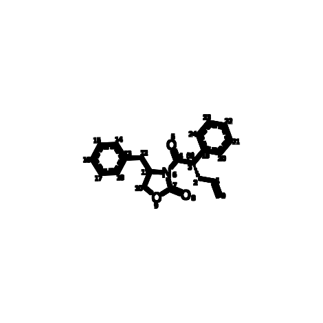 C=CC[C@H](C(=O)N1C(=O)OCC1Cc1ccccc1)c1ccccc1